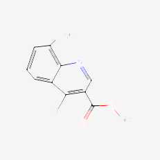 CCCOC(=O)c1cnc2c(OC)cccc2c1Cl